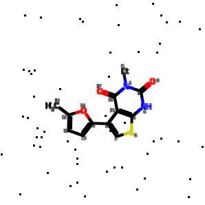 CCn1c(=O)[nH]c2scc(-c3ccc(C)o3)c2c1=O